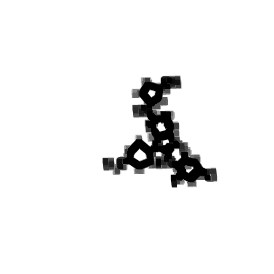 C[C@H]1CC[C@@H](n2c(Nc3c(F)cc(Cl)cc3F)nc3cnc(N[C@H]4CC[C@H](O)C4)nc32)CC1